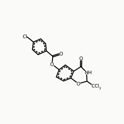 O=C(Oc1ccc2c(c1)C(=O)NC(C(Cl)(Cl)Cl)O2)c1ccc(Cl)cc1